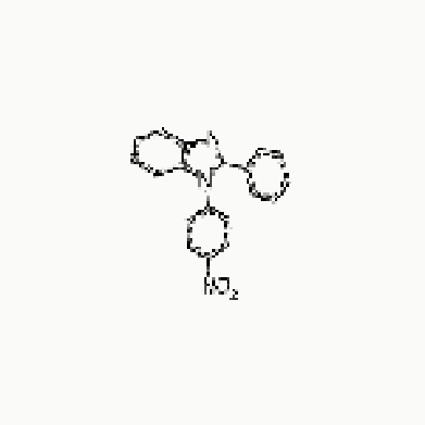 O=[N+]([O-])c1ccc(-n2c(-c3ccccc3)nc3ccccc32)cc1